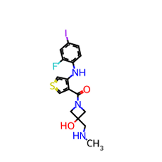 CNCC1(O)CN(C(=O)c2cscc2Nc2ccc(I)cc2F)C1